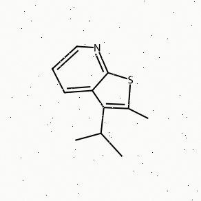 Cc1sc2ncccc2c1C(C)C